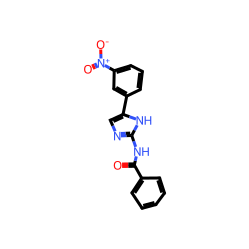 O=C(Nc1ncc(-c2cccc([N+](=O)[O-])c2)[nH]1)c1ccccc1